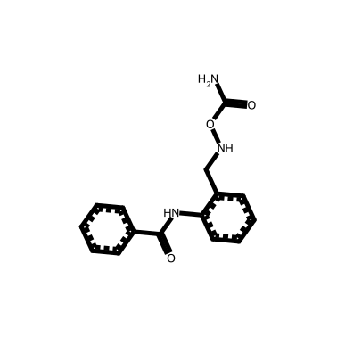 NC(=O)ONCc1ccccc1NC(=O)c1ccccc1